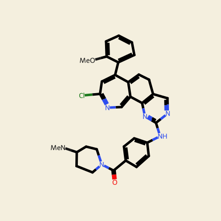 CNC1CCN(C(=O)c2ccc(Nc3ncc4c(n3)C3=CN=C(Cl)C=C(c5ccccc5OC)C3=CC4)cc2)CC1